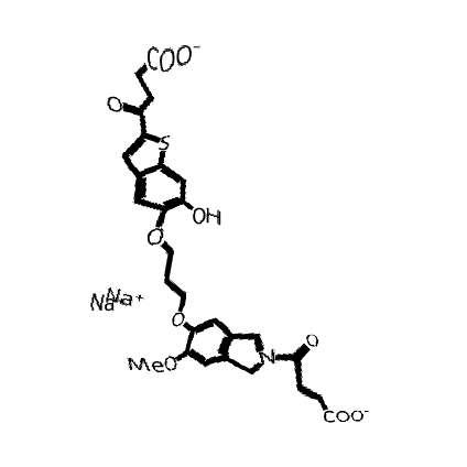 COc1cc2c(cc1OCCCOc1cc3cc(C(=O)CCC(=O)[O-])sc3cc1O)CN(C(=O)CCC(=O)[O-])C2.[Na+].[Na+]